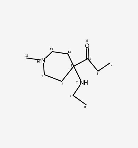 CCNC1(C(=O)CC)CCN(C)CC1